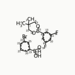 CC1(C)COB(c2cc(F)cc(F)c2)OC1.OB(O)c1cccc(Br)c1